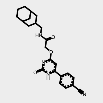 N#Cc1ccc(-c2cc(OCC(=O)NCC3CC4CCCC(C4)C3)nc(=O)[nH]2)cc1